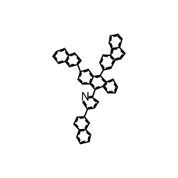 c1ccc2cc(-c3ccc(-c4c5ccccc5c(-c5ccc6c(ccc7ccccc76)c5)c5cc(-c6ccc7ccccc7c6)ccc45)nc3)ccc2c1